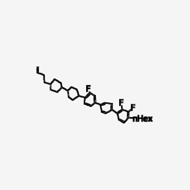 C=CCCC1CCC(C2CCC(c3ccc(-c4ccc(-c5ccc(CCCCCC)c(F)c5F)cc4)cc3F)CC2)CC1